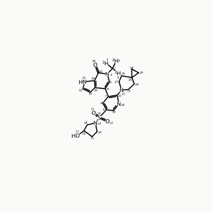 [2H]C([2H])([2H])n1cc(-c2cc(S(=O)(=O)N3CCC(O)C3)cnc2N2CCC3(CC2)CC3)c2cc[nH]c2c1=O